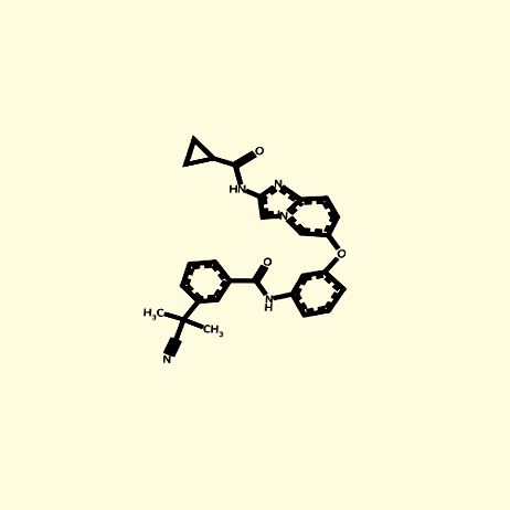 CC(C)(C#N)c1cccc(C(=O)Nc2cccc(Oc3ccc4nc(NC(=O)C5CC5)cn4c3)c2)c1